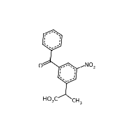 CC(C(=O)O)c1cc(C(=O)c2ccccc2)cc([N+](=O)[O-])c1